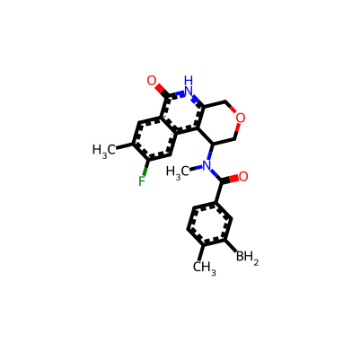 Bc1cc(C(=O)N(C)C2COCc3[nH]c(=O)c4cc(C)c(F)cc4c32)ccc1C